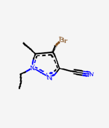 CCn1nc(C#N)c(Br)c1C